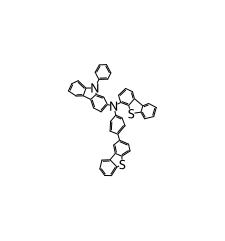 c1ccc(-n2c3ccccc3c3ccc(N(c4ccc(-c5ccc6sc7ccccc7c6c5)cc4)c4cccc5c4sc4ccccc45)cc32)cc1